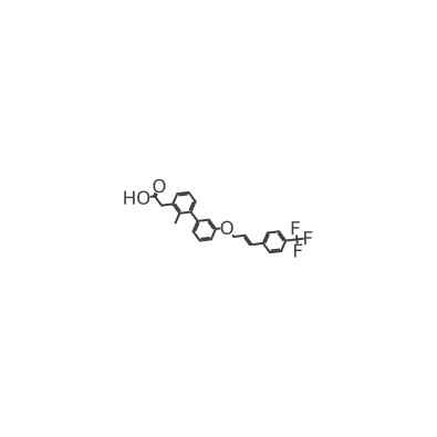 Cc1c(CC(=O)O)cccc1-c1cccc(OCC=Cc2ccc(C(F)(F)F)cc2)c1